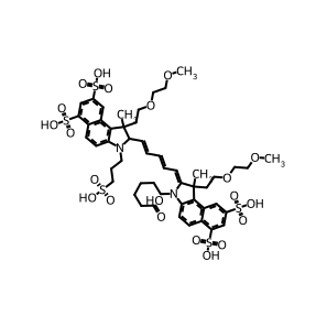 COCCOCCC1(C)C(=CC=CC=CC2N(CCCS(=O)(=O)O)c3ccc4c(S(=O)(=O)O)cc(S(=O)(=O)O)cc4c3C2(C)CCOCCOC)N(CCCCCC(=O)O)c2ccc3c(S(=O)(=O)O)cc(S(=O)(=O)O)cc3c21